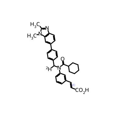 [2H]C(c1ccc(-c2ccc3nc(C)n(C)c3c2)cc1)N(C(=O)C1CCCCC1)c1cccc(/C=C/C(=O)O)c1